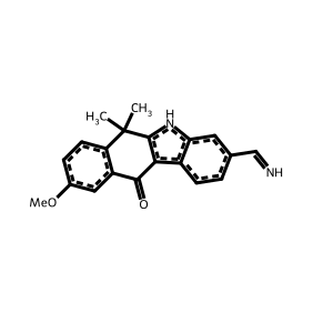 COc1ccc2c(c1)C(=O)c1c([nH]c3cc(C=N)ccc13)C2(C)C